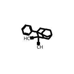 C#CC1(C#C)C2CC3CC(C2)CC1(c1ccccc1)C3